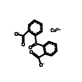 O=C([O-])c1ccccc1S(=O)c1ccccc1C(=O)[O-].[Cu+2]